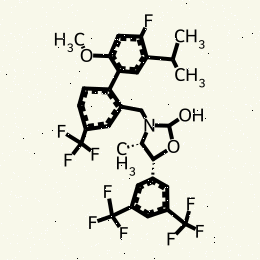 COc1cc(F)c(C(C)C)cc1-c1ccc(C(F)(F)F)cc1CN1C(O)O[C@H](c2cc(C(F)(F)F)cc(C(F)(F)F)c2)[C@@H]1C